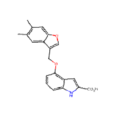 Cc1cc2occ(COc3cccc4[nH]c(C(=O)O)cc34)c2cc1C